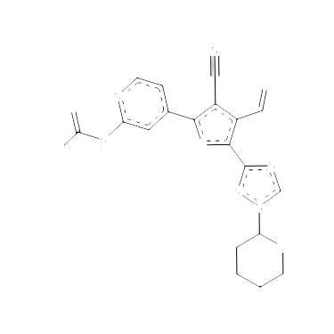 N#Cc1c(-c2ccnc(NC(=O)O)c2)sc(-c2ncn(C3CCCCO3)n2)c1C=O